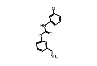 NCc1cccc(NC(=O)Nc2cccc(Cl)c2)c1